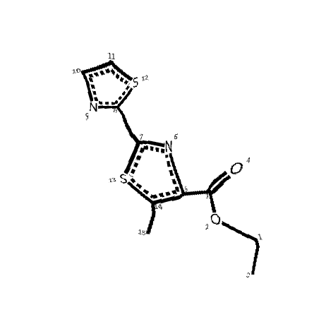 CCOC(=O)c1nc(-c2nccs2)sc1C